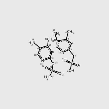 Cc1cc(CS(=O)(=O)O)ncc1N.Cc1cc(OS(C)(=O)=O)ncc1N